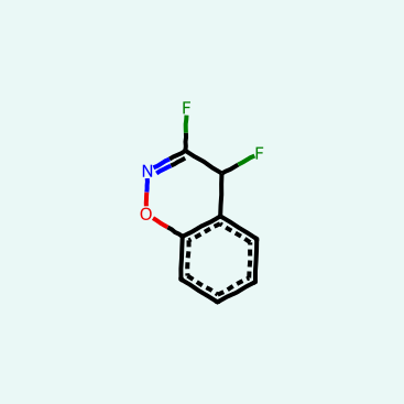 FC1=NOc2ccccc2C1F